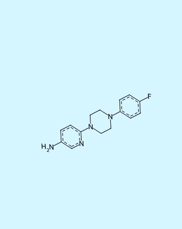 Nc1ccc(N2CCN(c3ccc(F)cc3)CC2)nc1